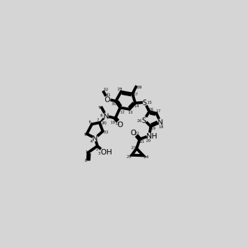 C=CC(O)N1CC[C@@H](N(C)C(=O)c2cc(Sc3cnc(NC(=O)C4CC4)s3)c(C)cc2OC)C1